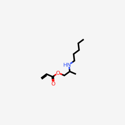 C=CC(=O)OCC(C)NCCCCC